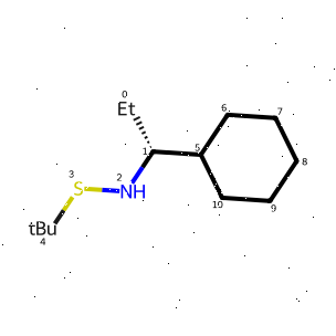 CC[C@@H](NSC(C)(C)C)C1CCCCC1